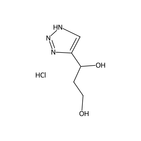 Cl.OCCC(O)c1c[nH]nn1